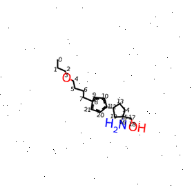 CCCOCCCCc1ccc([C@@H]2CC[C@@](N)(CO)C2)cc1